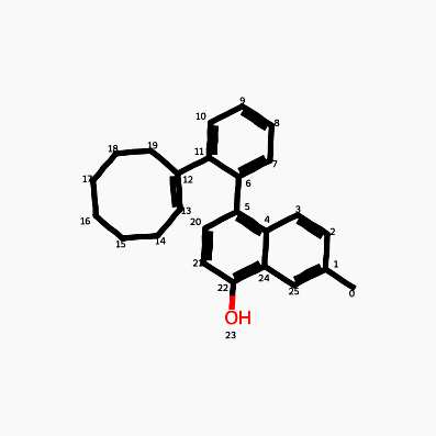 Cc1ccc2c(-c3ccccc3/C3=C/CCCCCC3)ccc(O)c2c1